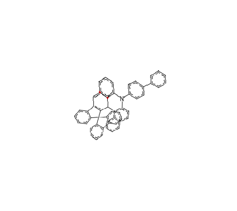 CC1C=CC2=C(C1c1c(N(c3ccccc3)c3ccc(-c4ccccc4)cc3)ccc3ccccc13)C1(c3ccccc32)c2ccccc2-c2ccccc21